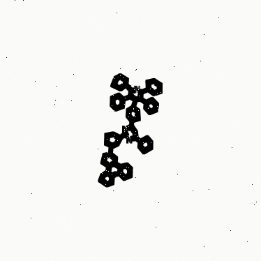 c1ccc(-c2cc(-c3ccc(-c4c(-c5ccccc5)c(-c5ccccc5)nc(-c5ccccc5)c4-c4ccccc4)cc3)nc(-c3cccc(-c4ccc5c6ccccc6c6ccccc6c5c4)c3)n2)cc1